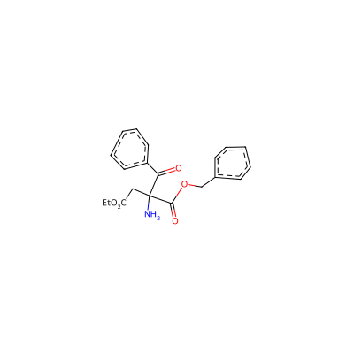 CCOC(=O)CC(N)(C(=O)OCc1ccccc1)C(=O)c1ccccc1